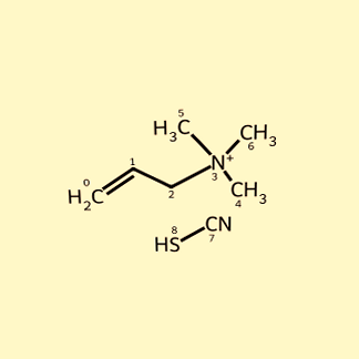 C=CC[N+](C)(C)C.N#CS